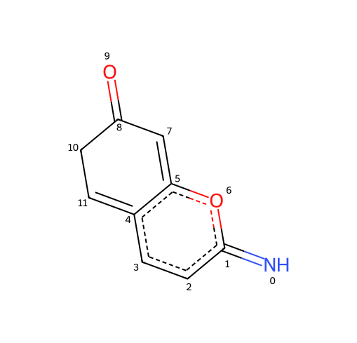 N=c1ccc2c(o1)=CC(=O)CC=2